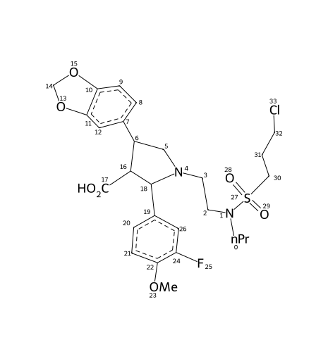 CCCN(CCN1CC(c2ccc3c(c2)OCO3)C(C(=O)O)C1c1ccc(OC)c(F)c1)S(=O)(=O)CCCCl